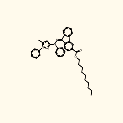 CCCCCCCCCCOC(=O)c1ccc2c(c1)-c1ccccc1/C2=N/N(c1ccccc1)c1cc(C)n(-c2ccccc2)n1